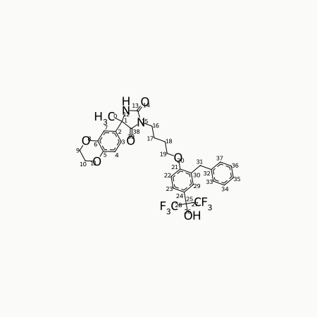 CC1(c2ccc3c(c2)OCCO3)NC(=O)N(CCCCOc2ccc(C(O)(C(F)(F)F)C(F)(F)F)cc2Cc2ccccc2)C1=O